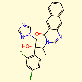 CC(n1cnc2cc3ccccc3cc2c1=O)C(O)(Cn1cncn1)c1ccc(F)cc1F